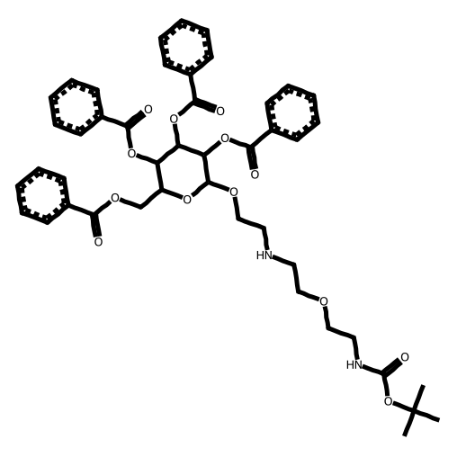 CC(C)(C)OC(=O)NCCOCCNCCOC1OC(COC(=O)c2ccccc2)C(OC(=O)c2ccccc2)C(OC(=O)c2ccccc2)C1OC(=O)c1ccccc1